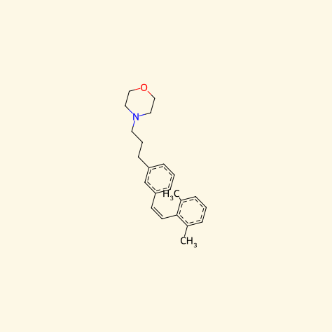 Cc1cccc(C)c1/C=C\c1cccc(CCCN2CCOCC2)c1